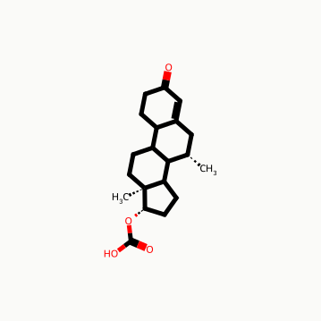 C[C@H]1CC2=CC(=O)CCC2C2CC[C@@]3(C)C(CC[C@@H]3OC(=O)O)C21